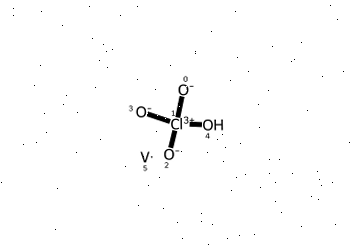 [O-][Cl+3]([O-])([O-])O.[V]